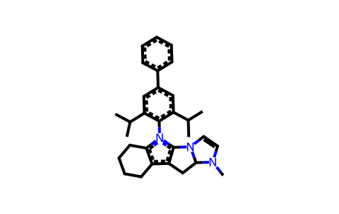 CC(C)c1cc(-c2ccccc2)cc(C(C)C)c1-n1c2c(c3c1N1C=CN(C)C1C3)CCCC2